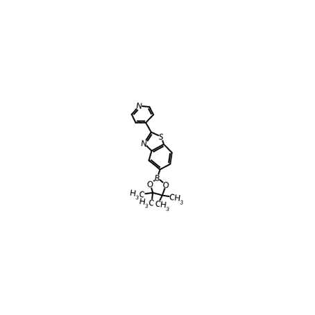 CC1(C)OB(c2ccc3sc(-c4ccncc4)nc3c2)OC1(C)C